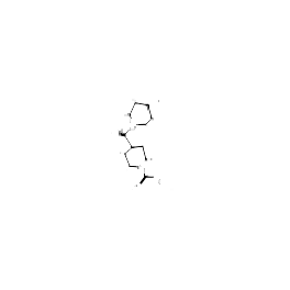 CC(C)(C)OC(=O)N1CCC(C(=O)N2CCC(=O)CC2)CC1